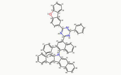 c1ccc(-c2nc(-c3ccc4oc5ccccc5c4c3)nc(-c3cc(-c4ccccc4)c(-n4c5cc6ccccc6cc5c5cc6ccccc6cc54)c4ccccc34)n2)cc1